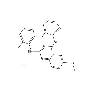 COc1ccc2nc(Nc3ccccc3C)nc(Nc3ccccc3C)c2c1.Cl